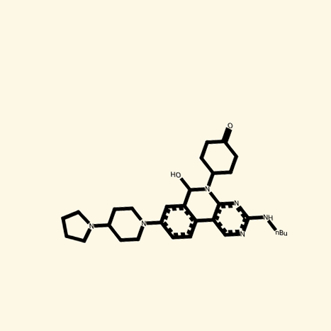 CCCCNc1ncc2c(n1)N(C1CCC(=O)CC1)C(O)c1cc(N3CCC(N4CCCC4)CC3)ccc1-2